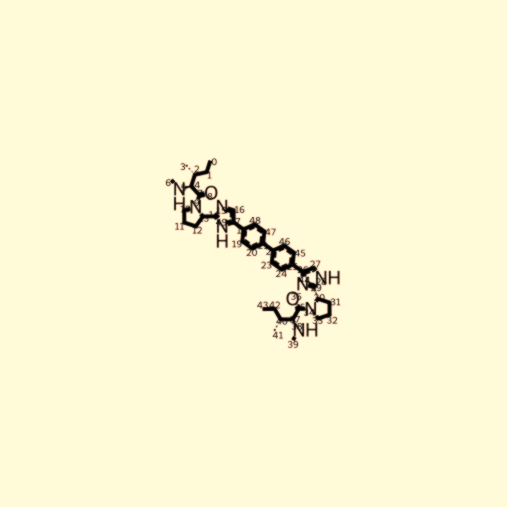 CC[C@@H](C)[C@H](NC)C(=O)N1CCCC1c1ncc(-c2ccc(-c3ccc(-c4c[nH]c([C@@H]5CCCN5C(=O)[C@@H](NC)[C@H](C)CC)n4)cc3)cc2)[nH]1